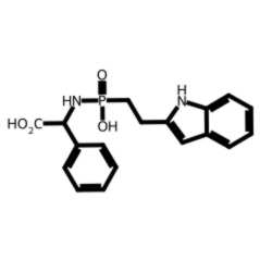 O=C(O)C(NP(=O)(O)CCc1cc2ccccc2[nH]1)c1ccccc1